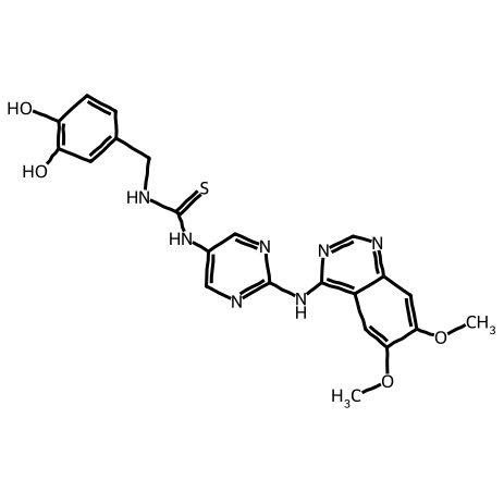 COc1cc2ncnc(Nc3ncc(NC(=S)NCc4ccc(O)c(O)c4)cn3)c2cc1OC